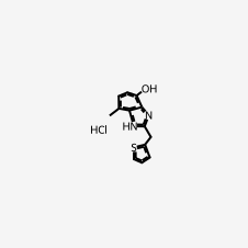 Cc1ccc(O)c2nc(Cc3cccs3)[nH]c12.Cl